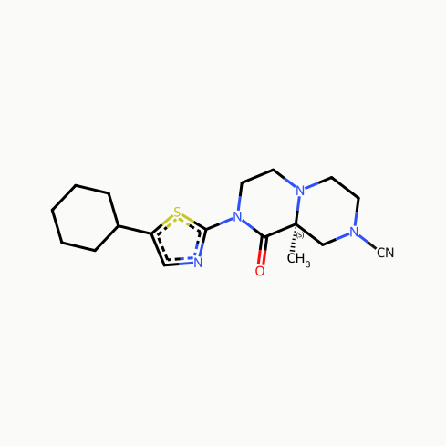 C[C@@]12CN(C#N)CCN1CCN(c1ncc(C3CCCCC3)s1)C2=O